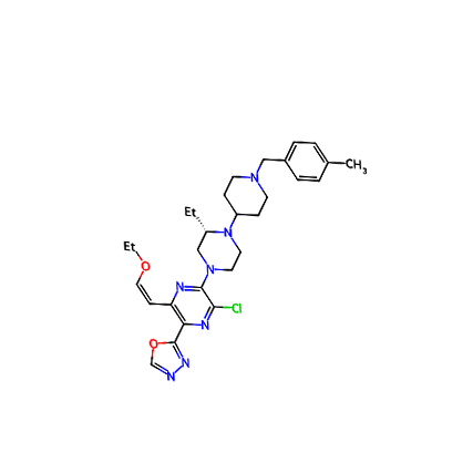 CCO/C=C\c1nc(N2CCN(C3CCN(Cc4ccc(C)cc4)CC3)[C@@H](CC)C2)c(Cl)nc1-c1nnco1